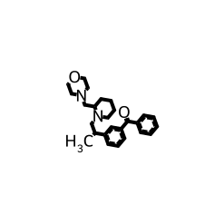 CC(CN1CCCCC1CN1CCOCC1)c1cccc(C(=O)c2ccccc2)c1